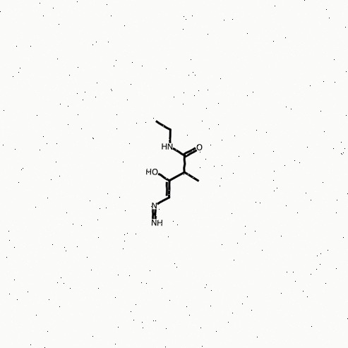 CCNC(=O)C(C)C(O)=CN=N